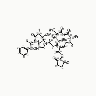 CC[C@H](C)[C@@H]([C@@H](CC(=O)N1CCC[C@H]1[C@H](OC)[C@@H](C)C(=O)N[C@H](C)[C@@H](O)c1ccccc1)OC)N(C)[C@H](C(=O)NC(=O)[C@H](C(C)C)N(C)CCCC(=O)ON1C(=O)CCC1=O)C(C)C